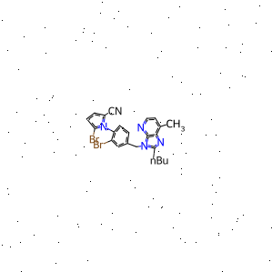 CCCCc1nc2c(C)ccnc2n1Cc1ccc(-n2c(Br)ccc2C#N)c(Br)c1